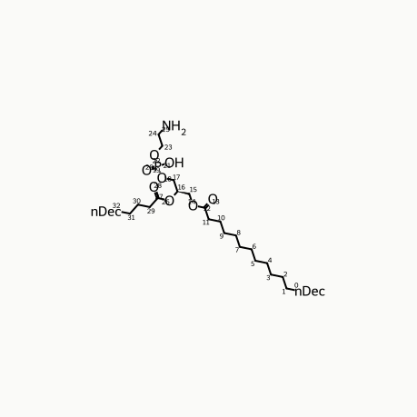 CCCCCCCCCCCCCCCCCCCCCC(=O)OC[C@H](COP(=O)(O)OCCN)OC(=O)CCCCCCCCCCCCC